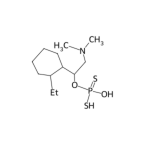 CCC1CCCCC1C(CN(C)C)OP(O)(=S)S